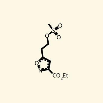 CCOC(=O)c1cc(CCOS(C)(=O)=O)on1